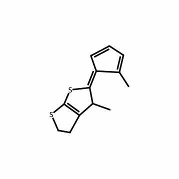 CC1=CC=CC1=C1SC2=C(CCS2)C1C